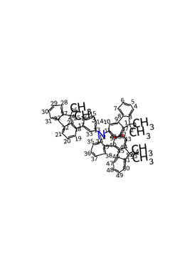 CC1(C)c2ccccc2-c2cc(N(c3cccc(-c4cccc5c4C(C)(C)c4ccccc4-5)c3)c3ccccc3-c3cccc4c3-c3ccccc3C4(C)C)ccc21